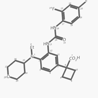 CCN(c1ccc(C2(C(=O)O)CCC2)cc1NC(=O)Nc1ccc(F)cc1F)C1CCOCC1